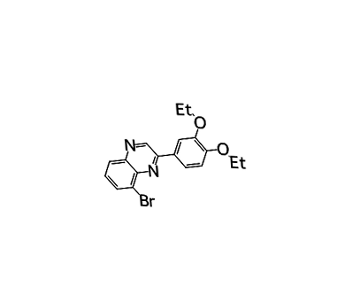 CCOc1ccc(-c2cnc3cccc(Br)c3n2)cc1OCC